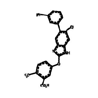 Cc1ccc(Oc2nc3cc(-c4cccc(C(C)C)c4)c(Cl)cc3[nH]2)cc1C(=O)O